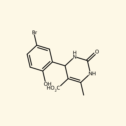 CC1=C(C(=O)O)C(c2cc(Br)ccc2O)NC(=O)N1